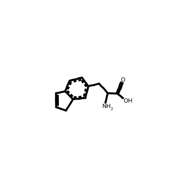 NC(Cc1ccc2c(c1)CC=C2)C(=O)O